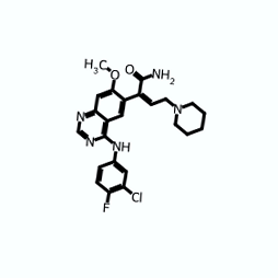 COc1cc2ncnc(Nc3ccc(F)c(Cl)c3)c2cc1C(=CCN1CCCCC1)C(N)=O